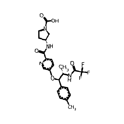 Cc1ccc([C@@H](Oc2ccc(C(=O)N[C@@H]3CCN(C(=O)O)C3)nc2)[C@H](C)NC(=O)C(F)(F)F)cc1